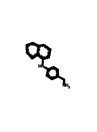 NCc1ccc(Pc2cccc3ccccc23)cc1